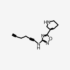 C#CCCC#CNc1noc(C2=CCCNC2)n1